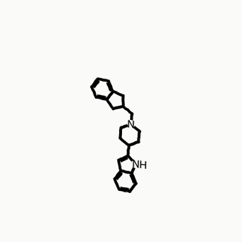 c1ccc2c(c1)CC(CN1CCC(c3cc4ccccc4[nH]3)CC1)C2